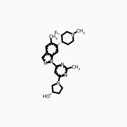 Cc1nc(N2CC[C@H](O)C2)cc(-n2ncc3cc(C)c([C@H]4CCN(C)C[C@H]4F)cc32)n1